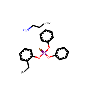 CC(C)Cc1ccccc1OP(=S)(Oc1ccccc1)Oc1ccccc1.CCCCCCCCCCCCN